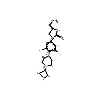 NCC1CN(c2cc(F)c(N3CCN(C4COC4)CC3)c(F)c2)C(=O)O1